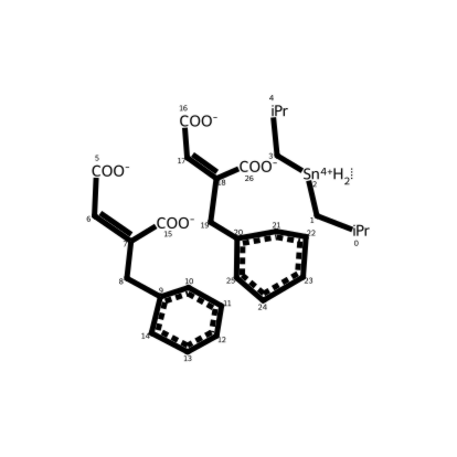 CC(C)[CH2][SnH2+4][CH2]C(C)C.O=C([O-])/C=C(/Cc1ccccc1)C(=O)[O-].O=C([O-])/C=C(/Cc1ccccc1)C(=O)[O-]